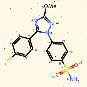 COc1nc(-c2ccc(F)cc2)n(-c2ccc(S(N)(=O)=O)cc2)n1